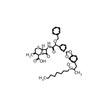 C=C1CS[C@@H]2C(NC(=O)C(OCc3ccccc3)c3ccccc3)C(=O)N2C1C(=O)O.CCCCCCCC[S+]([O-])C(C)Cc1ccc2c(c1)OCO2